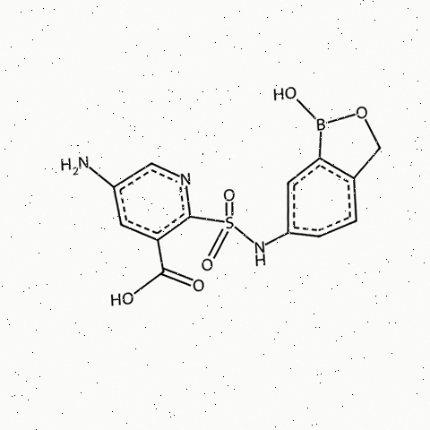 Nc1cnc(S(=O)(=O)Nc2ccc3c(c2)B(O)OC3)c(C(=O)O)c1